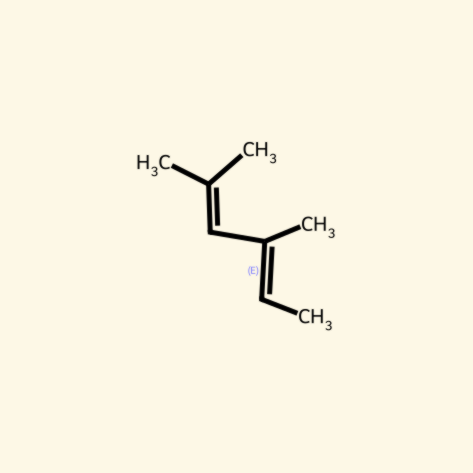 C/C=C(\C)C=C(C)C